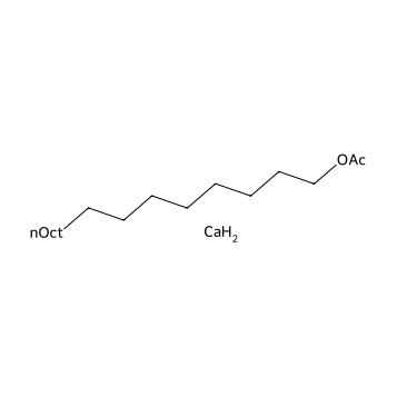 CCCCCCCCCCCCCCCCOC(C)=O.[CaH2]